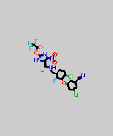 N#Cc1cc(Cl)cc(Oc2c(Cl)ccc(CNC(=O)c3[nH]c(OC(=O)C(F)(F)F)nc3[N+](=O)[O-])c2F)c1